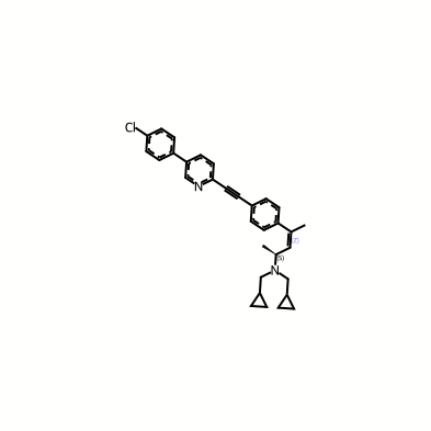 C/C(=C/[C@H](C)N(CC1CC1)CC1CC1)c1ccc(C#Cc2ccc(-c3ccc(Cl)cc3)cn2)cc1